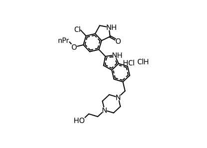 CCCOc1cc(-c2cc3cc(CN4CCN(CCO)CC4)ccc3[nH]2)c2c(c1Cl)CNC2=O.Cl.Cl